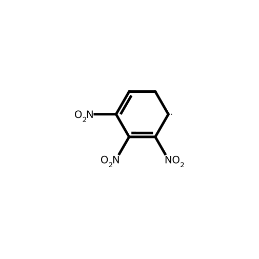 O=[N+]([O-])C1=CC[CH]C([N+](=O)[O-])=C1[N+](=O)[O-]